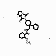 COC1=CC=CCC1C(=O)NCC1(c2ccccc2)CCC(N2C(=O)[C@@H]3CCCN3C2=O)CC1